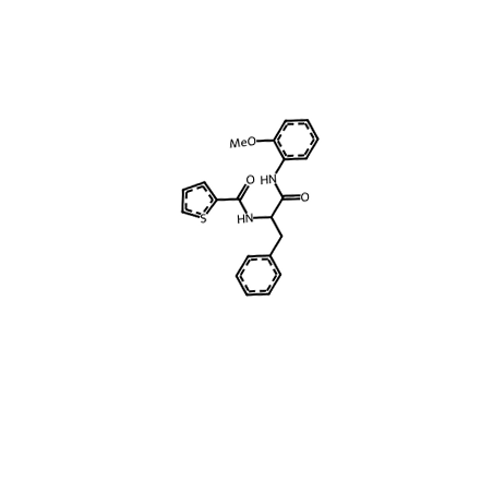 COc1ccccc1NC(=O)C(Cc1ccccc1)NC(=O)c1cccs1